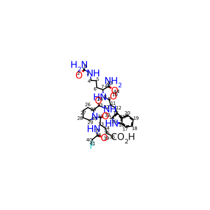 NC(=O)NCCCC(NC(=O)C(Cc1c[nH]c2ccccc12)NC(=O)C1CCCCN1C(=O)C(CCC(=O)O)NC(=O)CF)C(N)=O